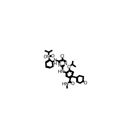 CNC(=O)c1cc(Nc2ncc(Cl)c(NC3CC=CC=C3S(=O)(=O)C(C)C)n2)c(OC(C)C)cc1C1=CCC(=O)CC1